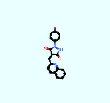 O=C1NN(c2ccc(I)cc2)C(=O)C1=Cc1ccc2ccccc2n1